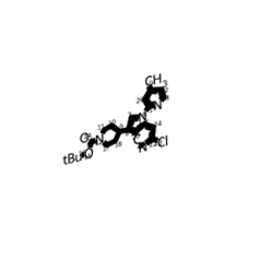 Cc1ccnc(-n2cc(C3CCN(C(=O)OC(C)(C)C)CC3)c3cnc(Cl)cc32)c1